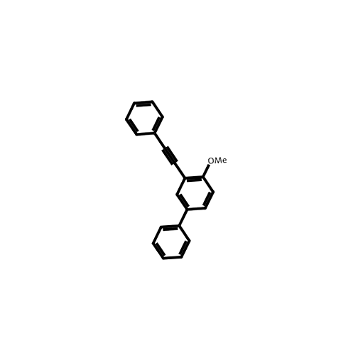 COc1ccc(-c2ccccc2)cc1C#Cc1ccccc1